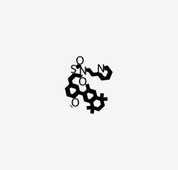 COc1ccc(C=C2SC(=O)N(CCc3ccccn3)C2=O)cc1-c1cc2c(cc1C)C(C)(C)CCC2(C)C